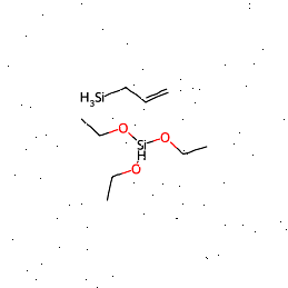 C=CC[SiH3].CCO[SiH](OCC)OCC